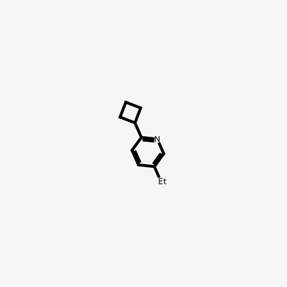 [CH2]Cc1ccc(C2CCC2)nc1